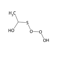 CC(O)SOOO